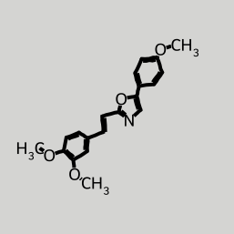 COc1ccc(-c2cnc(/C=C/c3ccc(OC)c(OC)c3)o2)cc1